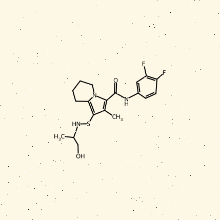 Cc1c(SNC(C)CO)c2n(c1C(=O)Nc1ccc(F)c(F)c1)CCCC2